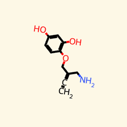 C=C=C(CN)COc1ccc(O)cc1O